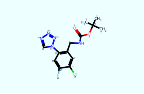 CC(C)(C)OC(=O)NCc1cc(Cl)c(F)cc1-n1cnnn1